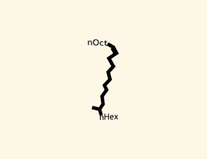 CCCCCCCC/C=C\CCCCCCCCC(C)CCCCCC